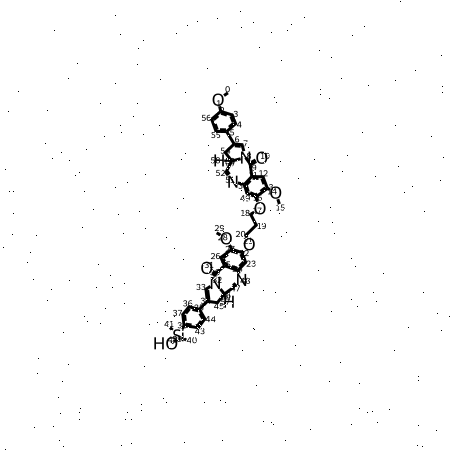 COc1ccc(C2=CN3C(=O)c4cc(OC)c(OCCCOc5cc6c(cc5OC)C(=O)N5C=C(c7ccc([Si](C)(C)O)cc7)C[C@H]5C=N6)cc4N=C[C@@H]3C2)cc1